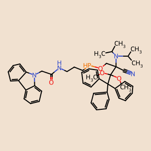 COC(OC)(C(c1ccccc1)(c1ccccc1)c1ccccc1)C(C#N)(COPCCCNC(=O)Cn1c2ccccc2c2ccccc21)N(C(C)C)C(C)C